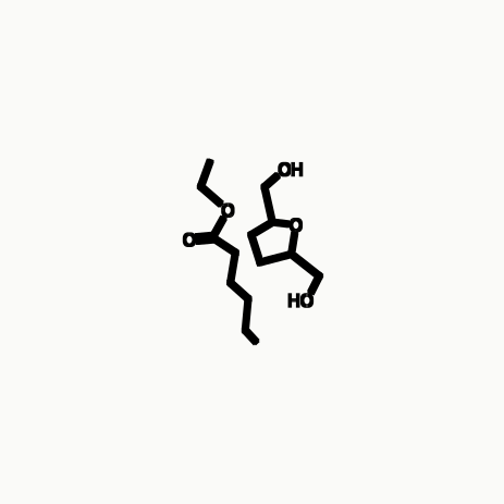 CCCCCC(=O)OCC.OCC1CCC(CO)O1